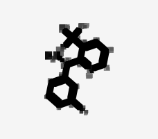 N[C@@H](c1cccc(F)c1)c1ncccc1C(F)(F)F